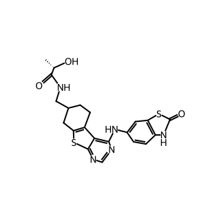 C[C@H](O)C(=O)NCC1CCc2c(sc3ncnc(Nc4ccc5[nH]c(=O)sc5c4)c23)C1